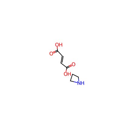 C1CNC1.O=C(O)/C=C/C(=O)O